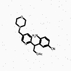 CC(=O)OCC(c1ccc(CN2CCOCC2)cn1)c1cc(C#N)ccc1N